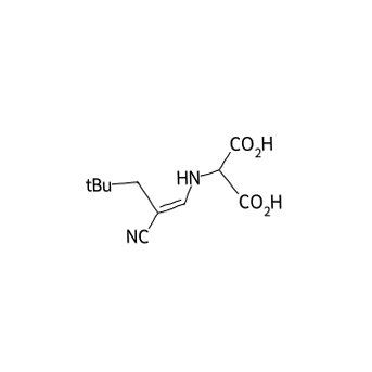 CC(C)(C)C/C(C#N)=C\NC(C(=O)O)C(=O)O